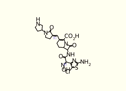 Nc1nc(/C(=N\O)C(=O)NC2C(=O)N3C(C(=O)O)=C(/C=C4\CCN(C5CCNC5)C4=O)CCC23)c(Cl)s1